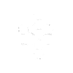 COc1c2ccccc2c(C)c2c1n1c3ccccc3c3c(F)cc4cc[n+](C)c2c4c31